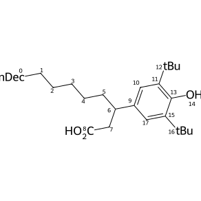 CCCCCCCCCCCCCCCC(CC(=O)O)c1cc(C(C)(C)C)c(O)c(C(C)(C)C)c1